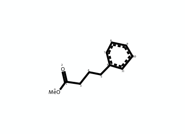 COC(=O)CCCc1[c]cccc1